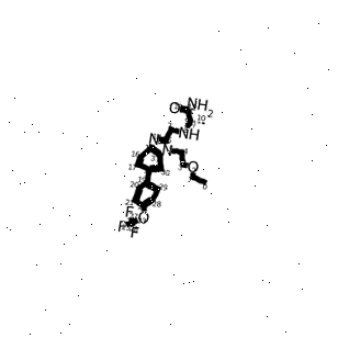 CCOCCn1c(CN[C@@H](C)C(N)=O)nc2ccc(-c3ccc(OC(F)(F)F)cc3)cc21